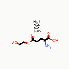 N[C@@H](CCC(=O)OCCO)C(=O)O.[NaH].[NaH].[NaH].[NaH]